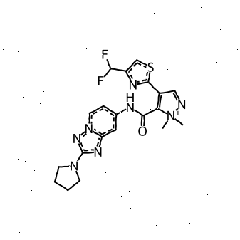 C[N+]1(C)N=CC(c2nc(C(F)F)cs2)=C1C(=O)Nc1ccn2nc(N3CCCC3)nc2c1